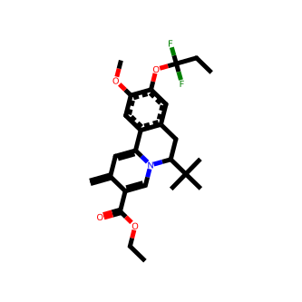 C=C1C=C2c3cc(OC)c(OC(F)(F)CC)cc3CC(C(C)(C)C)N2C=C1C(=O)OCC